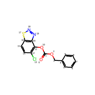 O=C(OCc1ccccc1)Oc1c(Cl)ccc2snnc12